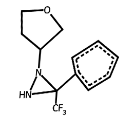 FC(F)(F)C1(c2ccccc2)NN1C1CCOC1